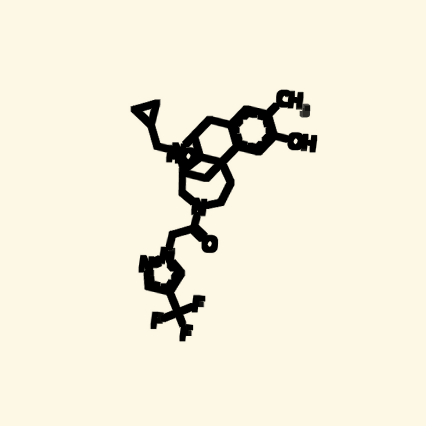 Cc1cc2c(cc1O)C13CCN(C(=O)Cn4cc(C(F)(F)F)cn4)CCC1(O)C(C2)N(CC1CC1)CC3